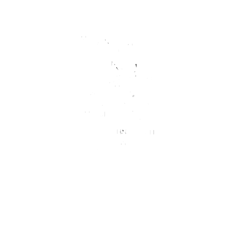 Cc1cn([C@@H]2O[C@]3(C(OP(=O)(O)O)(C(=O)[C@H](C)NOCc4ccccc4)c4ccc(Cl)cc4)CO[C@@H]2[C@@H]3O)c(=O)[nH]c1=O